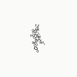 COc1ccc(CS(=O)(=O)[C@@H]2C[C@@H](C(=O)N[C@@H](C(C)C)[C@@H](O)C(F)(F)C(=O)NCC(F)(F)F)N(C(=O)[C@H](C)N)C2)cc1